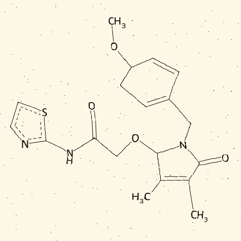 COC1C=CC(CN2C(=O)C(C)=C(C)C2OCC(=O)Nc2nccs2)=CC1